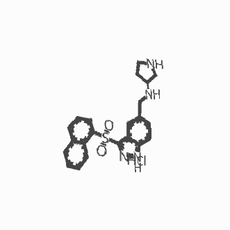 Cl.O=S(=O)(c1cccc2ccccc12)c1n[nH]c2ccc(CN[C@H]3CCNC3)cc12